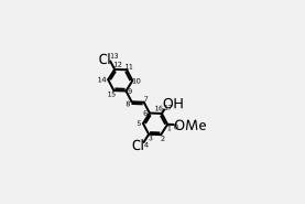 COc1cc(Cl)cc(/C=C/c2ccc(Cl)cc2)c1O